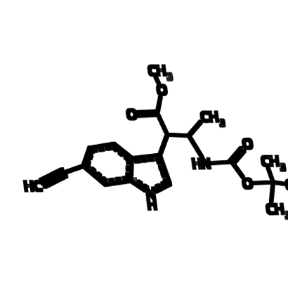 C#Cc1ccc2c(C(C(=O)OC)C(C)NC(=O)OC(C)(C)C)c[nH]c2c1